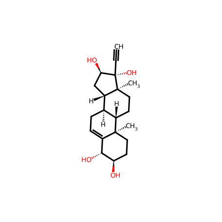 C#C[C@]1(O)[C@H](O)C[C@H]2[C@@H]3CC=C4[C@@H](O)[C@H](O)CC[C@]4(C)[C@H]3CC[C@@]21C